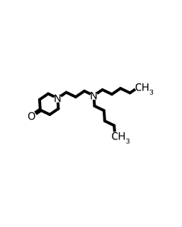 CCCCCN(CCCCC)CCCN1CCC(=O)CC1